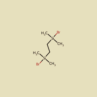 C[Si](C)(Br)CC[Si](C)(C)Br